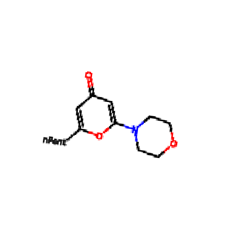 CCCCCc1cc(=O)cc(N2CCOCC2)o1